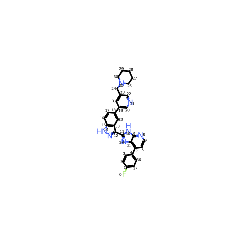 Fc1ccc(-c2ccnc3[nH]c(-c4n[nH]c5ccc(-c6cncc(CN7CCCCC7)c6)cc45)nc23)cc1